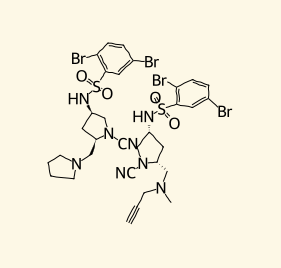 C#CCN(C)C[C@H]1C[C@@H](NS(=O)(=O)c2cc(Br)ccc2Br)CN1C#N.N#CN1C[C@H](NS(=O)(=O)c2cc(Br)ccc2Br)C[C@@H]1CN1CCCC1